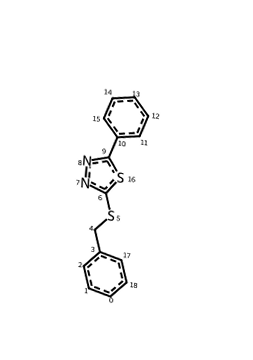 c1ccc(CSc2nnc(-c3ccccc3)s2)cc1